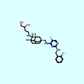 OCC(O)CCN[C@@H]1[C@@H]2CC3C[C@H]1C[C@@](CNc1nc(NCc4ccccc4Cl)ncc1F)(C3)C2